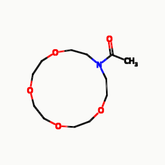 CC(=O)N1CCOCCOCCOCCOCC1